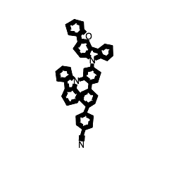 N#Cc1ccc(-c2ccc(-c3ccc(-n4c5ccccc5c5c6oc7ccccc7c6ccc54)cc3-n3c4ccccc4c4ccccc43)cc2)cc1